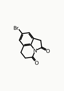 O=C1CCc2cc(Br)cc3c2N1C(=O)C3